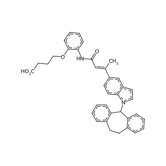 CC(=CC(=O)Nc1ccccc1OCCCC(=O)O)c1ccc2c(ccn2C2c3ccccc3CCc3ccccc32)c1